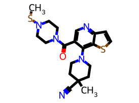 CSN1CCN(C(=O)c2cnc3ccsc3c2N2CCC(C)(C#N)CC2)CC1